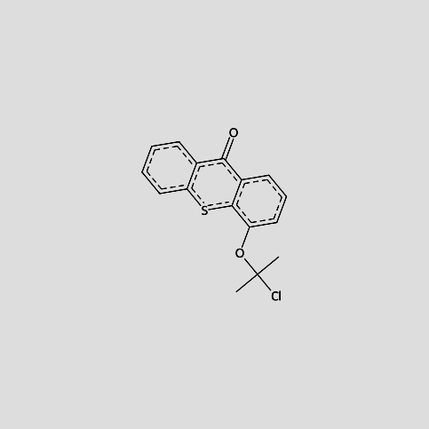 CC(C)(Cl)Oc1cccc2c(=O)c3ccccc3sc12